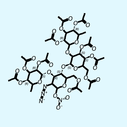 CC(=O)OCC1OC(O[N+](=O)[O-])C(N=[N+]=[N-])[C@@H](O[C@@H]2OC(C)[C@@H](OC(C)=O)C(OC(C)=O)[C@H]2OC(C)=O)[C@@H]1O[C@@H]1OC(COC(C)=O)[C@H](OC(C)=O)[C@H](OC(C)=O)C1OC1OC(C)[C@@H](OC(C)=O)C(OC(C)=O)[C@H]1OC(C)=O